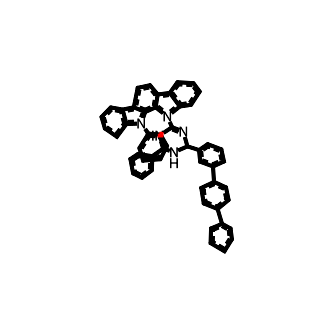 c1ccc(-c2ccc(-c3cccc(C4N=C(n5c6ccccc6c6ccc7c8ccccc8n(-c8ccccc8)c7c65)NC(c5ccccc5)N4)c3)cc2)cc1